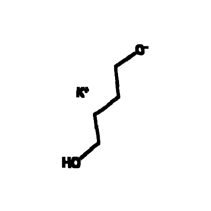 [K+].[O-]CCCCO